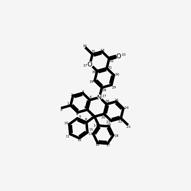 Cc1ccc2c(c1)C(c1ccccc1)(c1ccccc1)c1cc(C)ccc1N2c1ccc2c(=O)cc(C)oc2c1